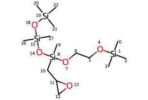 C[Si](C)(C)OCCO[Si](C)(CC1CO1)O[Si](C)(C)O[Si](C)(C)C